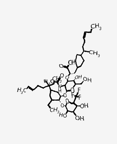 C/C=C/CCC(I)(CC)C1CC(CC)[C@@H](O[C@@H]2OC(C(F)(F)F)[C@@H](O)C(O)C2O)[C@H](O[C@@H]2OC(CO)[C@H](O)C(O[C@@H](CC3CCC(C(C)CC/C=C\CC)CC3)C(=O)O)C2NC(C)=O)C1